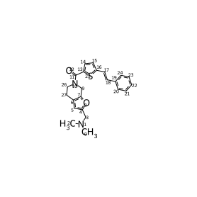 CN(C)Cc1cc2c(o1)CN(C(=O)c1ccc(C=Cc3ccccc3)s1)CC2